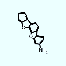 Nc1ccc2c(c1)oc1c2ccc2c3ccccc3oc21